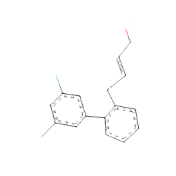 Cc1cc(Cl)cc(-c2ccccc2CC=CCO)c1